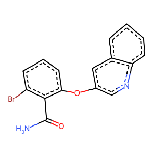 NC(=O)c1c(Br)cccc1Oc1cnc2ccccc2c1